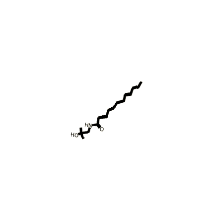 CC=CC=CC=CC=CC=CC(=O)NCC(C)(C)O